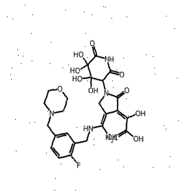 C=C(O)/C(O)=C1/C(=O)N(C2C(=O)NC(=O)C(O)(O)C2(O)O)C/C1=C(/O)NCc1cc(CN2CCOCC2)ccc1F